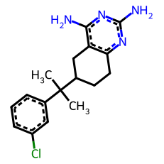 CC(C)(c1cccc(Cl)c1)C1CCc2nc(N)nc(N)c2C1